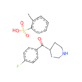 Cc1ccccc1S(=O)(=O)O.O=C(c1ccc(F)cc1)C1CCNCC1